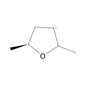 CC1[CH]C[C@H](C)O1